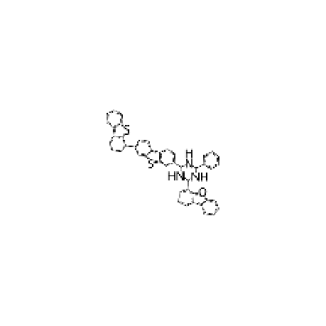 c1ccc(C2NC(c3ccc4c(c3)sc3cc(-c5cccc6c5sc5ccccc56)ccc34)NC(c3cccc4c3oc3ccccc34)N2)cc1